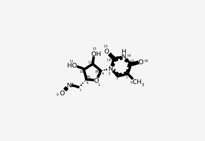 Cc1cn([C@@H]2O[C@H](CN=O)C(O)C2O)c(=O)[nH]c1=O